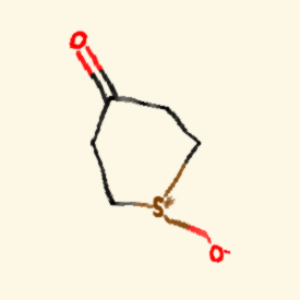 O=C1CC[S+]([O-])CC1